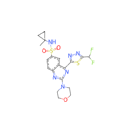 CC1(NS(=O)(=O)c2ccc3nc(N4CCOCC4)nc(-c4nnc(C(F)F)s4)c3c2)CC1